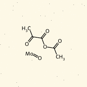 CC(=O)OC(=O)C(C)=O.[O]=[Mo]